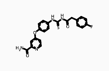 NC(=O)c1cc(Oc2ccc(NC(=S)NC(=O)Cc3ccc(F)cc3)cc2)ccn1